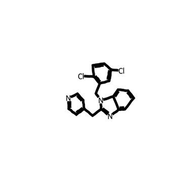 Clc1ccc(Cl)c(Cn2c(Cc3ccncc3)nc3ccccc32)c1